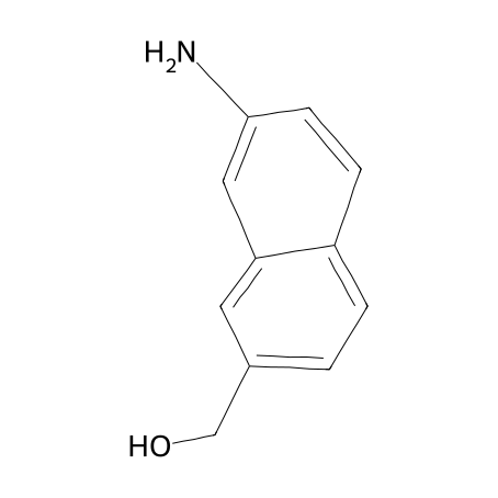 Nc1ccc2ccc(CO)cc2c1